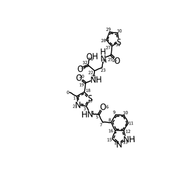 Cc1nc(NC(=O)Cc2cccc3[nH]ncc23)sc1C(=O)NC(CNC(=O)c1cccs1)C(=O)O